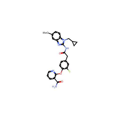 COc1ccc2c(c1)nc(NC(=O)Cc1ccc(Oc3ncccc3C(N)=O)c(F)c1)n2CC1CC1